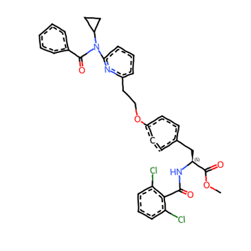 COC(=O)[C@H](Cc1ccc(OCCc2cccc(N(C(=O)c3ccccc3)C3CC3)n2)cc1)NC(=O)c1c(Cl)cccc1Cl